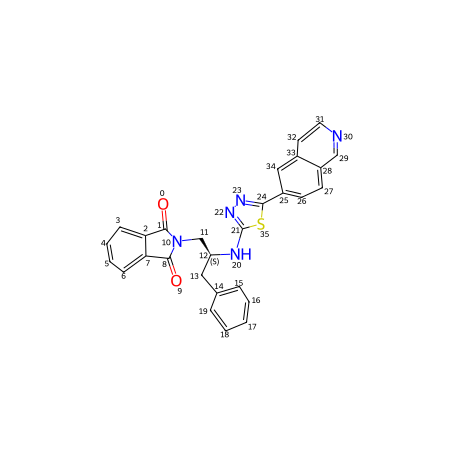 O=C1c2ccccc2C(=O)N1C[C@H](Cc1ccccc1)Nc1nnc(-c2ccc3cnccc3c2)s1